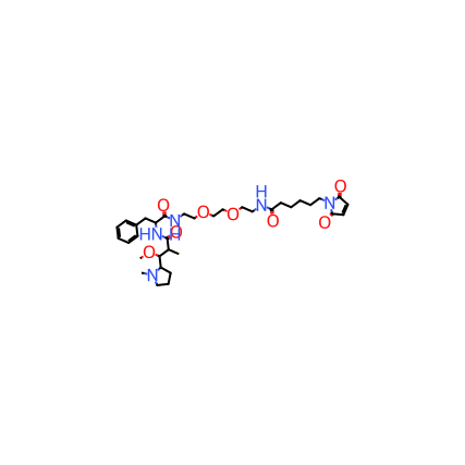 COC(C(C)C(=O)NC(Cc1ccccc1)C(=O)NCCOCCOCCNC(=O)CCCCCN1C(=O)C=CC1=O)C1CCCN1C